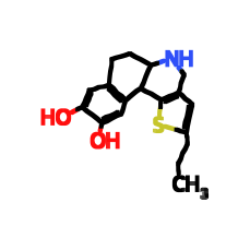 CCCc1cc2c(s1)C1c3cc(O)c(O)cc3CCC1NC2